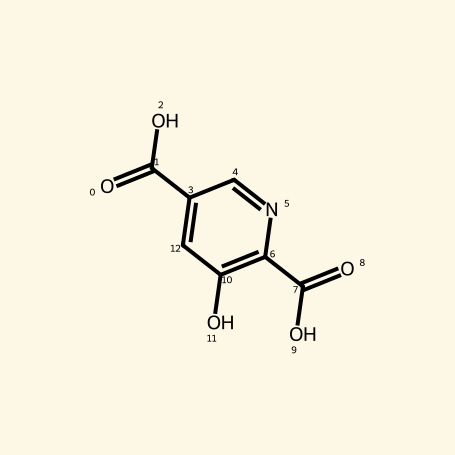 O=C(O)c1cnc(C(=O)O)c(O)c1